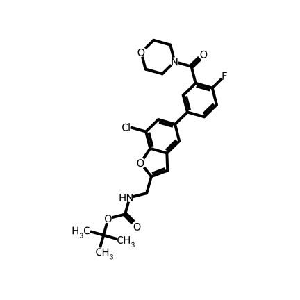 CC(C)(C)OC(=O)NCc1cc2cc(-c3ccc(F)c(C(=O)N4CCOCC4)c3)cc(Cl)c2o1